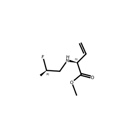 C=C[C@H](NC[C@@H](C)F)C(=O)OC